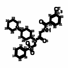 O=C(NCC(=O)N(CS(=O)(=O)c1ccccc1)C1CCC(N2CCCCC2)CC1)c1cccc(C(F)(F)F)c1